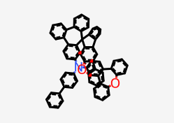 c1ccc(-c2ccc(N(c3ccc4c(c3)-c3ccccc3Oc3ccccc3-4)c3ccc4c(c3)C3(c5ccccc5-c5ccccc5-4)c4ccccc4-c4cc5c(cc43)oc3ccccc35)cc2)cc1